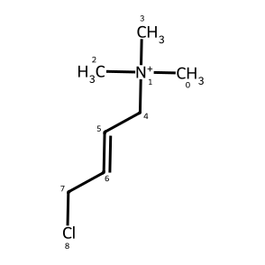 C[N+](C)(C)CC=CCCl